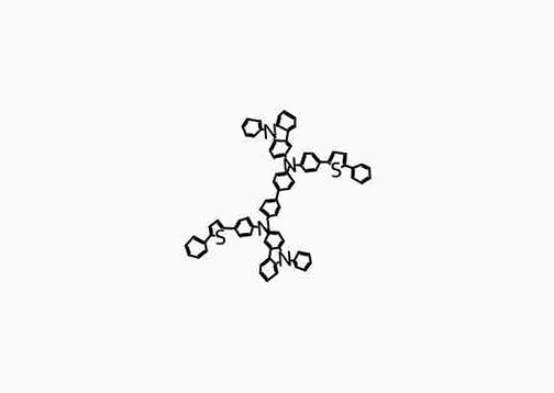 c1ccc(-c2ccc(-c3ccc(N(c4ccc(-c5ccc(N(c6ccc(-c7ccc(-c8ccccc8)s7)cc6)c6ccc7c(c6)c6ccccc6n7-c6ccccc6)cc5)cc4)c4ccc5c(c4)c4ccccc4n5-c4ccccc4)cc3)s2)cc1